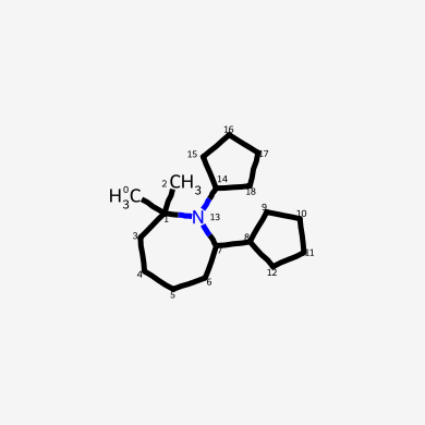 CC1(C)CCCCC(C2CCCC2)N1C1CCCC1